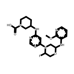 COc1ncccc1NC1CN(c2cc(NC3CCCN(C(=O)O)C3)ncn2)C(F)CO1